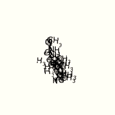 COCCNC(=O)NC[C@@]1(C)CC[C@]2(C)CC[C@@]3(C)[C@]4(C)CC[C@H]5C(C)(C)C(=O)C(C#N)=C[C@]5(C)C4=CC(=O)[C@]3(O)[C@@H]2C1